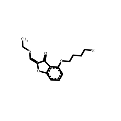 CCSC=C1Oc2cccc(OCCCCBr)c2C1=O